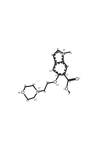 COC(=O)c1cc2c(ccn2C)cc1OCCN1CCOCC1